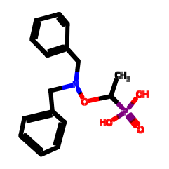 CC(ON(Cc1ccccc1)Cc1ccccc1)P(=O)(O)O